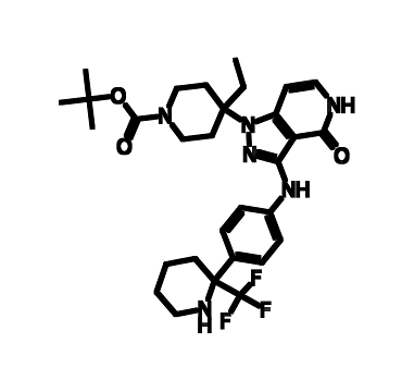 CCC1(n2nc(Nc3ccc(C4(C(F)(F)F)CCCCN4)cc3)c3c(=O)[nH]ccc32)CCN(C(=O)OC(C)(C)C)CC1